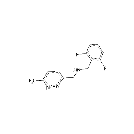 Fc1cccc(F)c1CNCc1ccc(C(F)(F)F)nn1